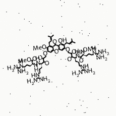 CON[C@@H](CCCNC(N)N)C(=O)N[C@@H](CCCNC(N)N)C(=O)C(=O)COc1cc2oc3cc(OCC(=O)C(=O)[C@H](CCCNC(N)N)NN[C@@H](CCCNC(N)N)C(=O)OC)c(OC)c(CC=C(C)C)c3c(=O)c2c(O)c1CC=C(C)C